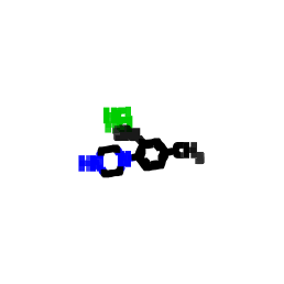 Cc1ccc(N2CCNCC2)c(C(C)(C)C)c1.Cl.Cl